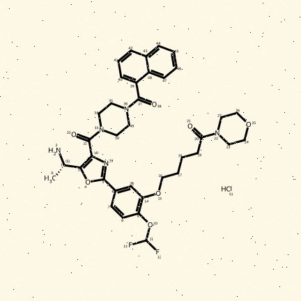 C[C@H](N)c1oc(-c2ccc(OC(F)F)c(OCCCCC(=O)N3CCOCC3)c2)nc1C(=O)N1CCN(C(=O)c2cccc3ccccc23)CC1.Cl